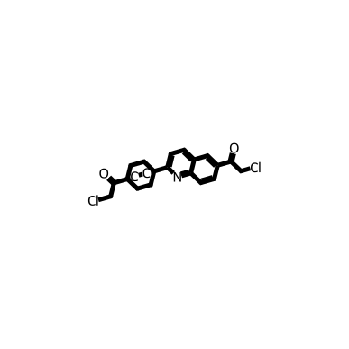 O=C(CCl)c1ccc2nc(C34CCC(C(=O)CCl)(CC3)CC4)ccc2c1